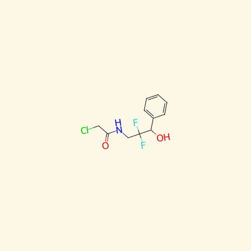 O=C(CCl)NCC(F)(F)C(O)c1ccccc1